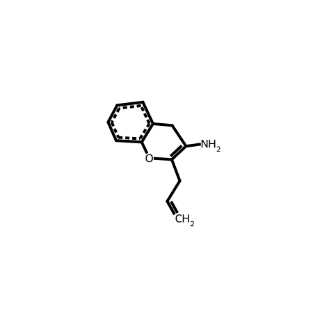 C=CCC1=C(N)Cc2ccccc2O1